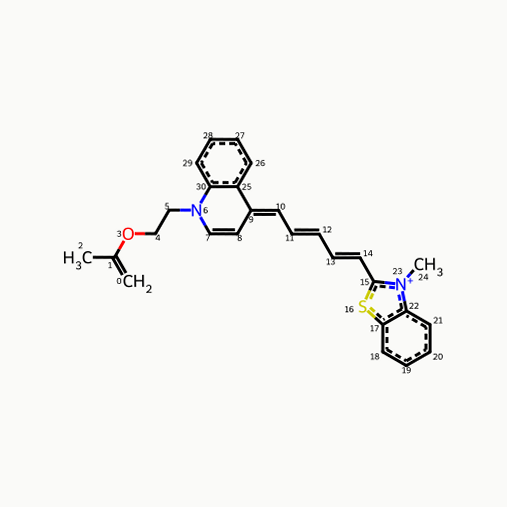 C=C(C)OCCN1C=C\C(=C/C=C/C=C/c2sc3ccccc3[n+]2C)c2ccccc21